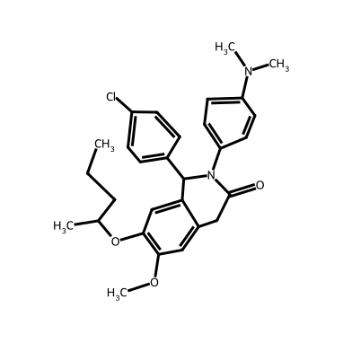 CCCC(C)Oc1cc2c(cc1OC)CC(=O)N(c1ccc(N(C)C)cc1)C2c1ccc(Cl)cc1